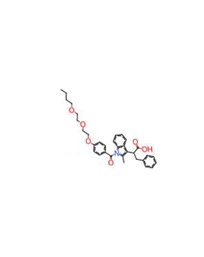 CCCCOCCOCCOc1ccc(C(=O)n2c(C)c(C(Cc3ccccc3)C(=O)O)c3ccccc32)cc1